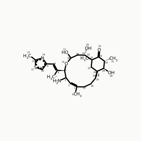 C/C1=C/C(N)[C@@H](/C(C)=C/c2csc(C)n2)OC(O)C[C@H](O)[C@]2(C)C[C@@H](CCC1)[C@H](O)[C@@H](C)C2=O